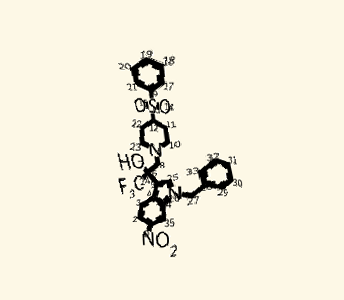 O=[N+]([O-])c1ccc2c(C(O)(CN3CCC(S(=O)(=O)c4ccccc4)CC3)C(F)(F)F)cn(Cc3ccccc3)c2c1